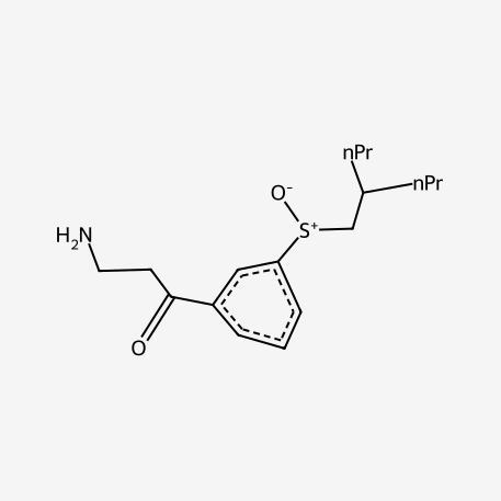 CCCC(CCC)C[S+]([O-])c1cccc(C(=O)CCN)c1